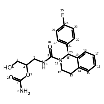 NC(=O)OC(CO)CNC(=O)N1CCc2ccccc2[C@@H]1c1ccc(F)cc1